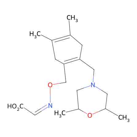 CC1=C(C)CC(CN2CC(C)OC(C)C2)=C(CO/N=C\C(=O)O)C1